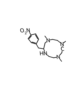 CN1CCNC(Cc2ccc([N+](=O)[O-])cc2)CN(C)CCN(C)CC1